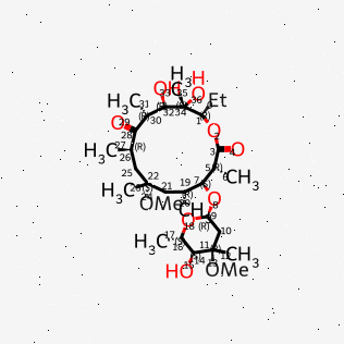 CC[C@H]1OC(=O)[C@H](C)[C@@H](O[C@H]2C[C@@](C)(OC)[C@@H](O)[C@H](C)O2)[C@H](C)C[C@](C)(OC)C[C@@H](C)C(=O)[C@H](C)[C@@H](O)[C@]1(C)O